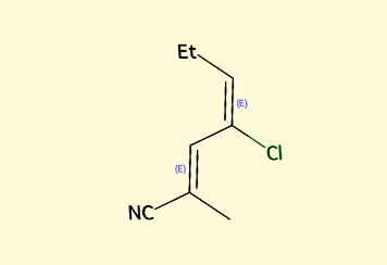 CC/C=C(Cl)\C=C(/C)C#N